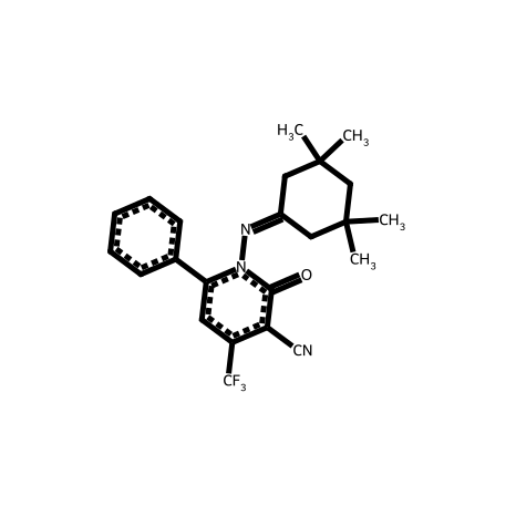 CC1(C)CC(=Nn2c(-c3ccccc3)cc(C(F)(F)F)c(C#N)c2=O)CC(C)(C)C1